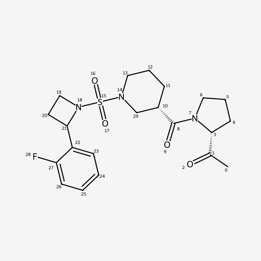 CC(=O)[C@H]1CCCN1C(=O)[C@H]1CCCN(S(=O)(=O)N2CCC2c2ccccc2F)C1